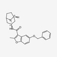 Cc1oc2ccc(OCc3ccccc3)cc2c1C(=O)N[C@H]1CC2CC[C@H](C1)N2C